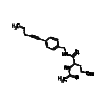 CCCC#Cc1ccc(CNC(=O)C(CCO)NC(C)=O)cc1